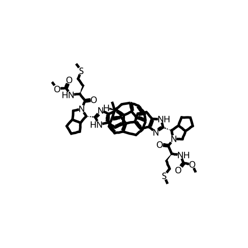 COC(=O)N[C@@H](CCSC)C(=O)N1CC2CCCC2[C@H]1c1nc2cc(-c3cc4ccc3CCc3ccc(c(-c5ccc6[nH]c([C@@H]7C8CCCC8CN7C(=O)[C@H](CCSC)NC(=O)OC)nc6c5)c3)C[C@H]4C)ccc2[nH]1